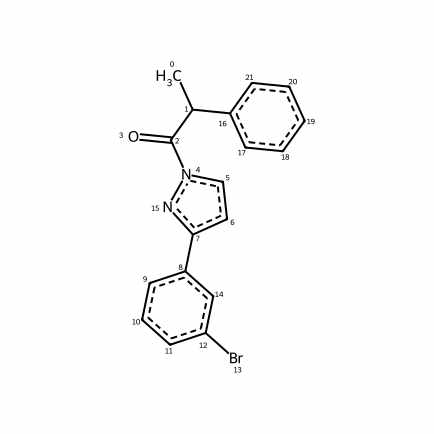 CC(C(=O)n1ccc(-c2cccc(Br)c2)n1)c1ccccc1